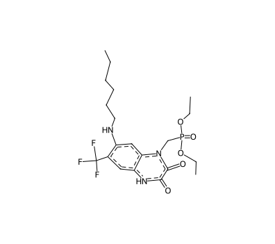 CCCCCCNc1cc2c(cc1C(F)(F)F)[nH]c(=O)c(=O)n2CP(=O)(OCC)OCC